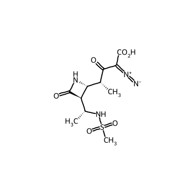 C[C@@H](NS(C)(=O)=O)[C@H]1C(=O)N[C@@H]1[C@@H](C)C(=O)C(=[N+]=[N-])C(=O)O